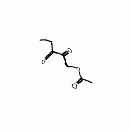 C[CH]C(=O)C(=O)COC(C)=O